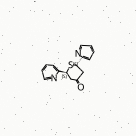 O=C1C[C@@H](c2ccccn2)S[C@H](c2ccccn2)C1